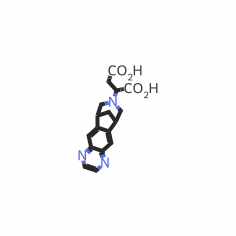 O=C(O)CC(C(=O)O)N1CC2CC(C1)c1cc3nccnc3cc12